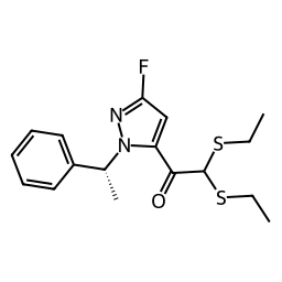 CCSC(SCC)C(=O)c1cc(F)nn1[C@H](C)c1ccccc1